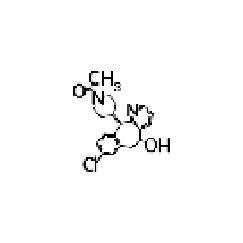 CC(=O)N1CCC(=C2c3ccc(Cl)cc3CC(O)c3cccnc32)CC1